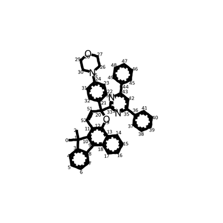 CC1(C)c2ccccc2-c2c1c1c(c3ccccc23)OC(c2ccc(N3CCOCC3)cc2)(c2nc(-c3ccccc3)cc(-c3ccccc3)n2)C=C1